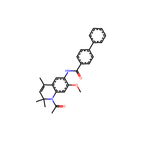 COc1cc2c(cc1NC(=O)c1ccc(-c3ccccc3)cc1)C(C)=CC(C)(C)N2C(C)=O